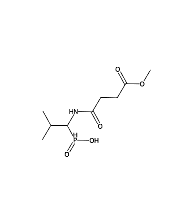 COC(=O)CCC(=O)NC(C(C)C)[PH](=O)O